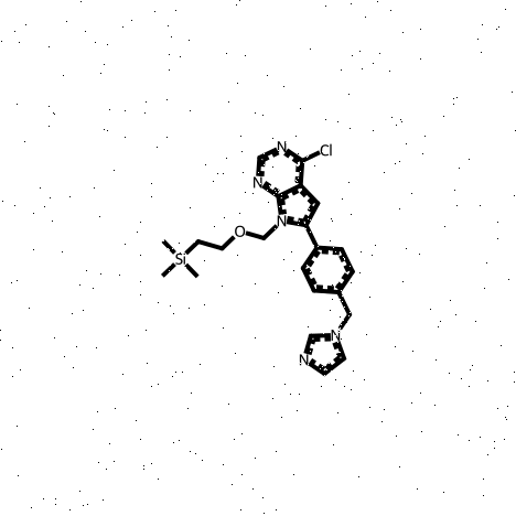 C[Si](C)(C)CCOCn1c(-c2ccc(Cn3ccnc3)cc2)cc2c(Cl)ncnc21